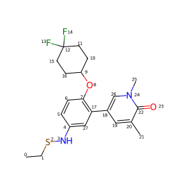 CCSNc1ccc(OC2CCC(F)(F)CC2)c(-c2cc(C)c(=O)n(C)c2)c1